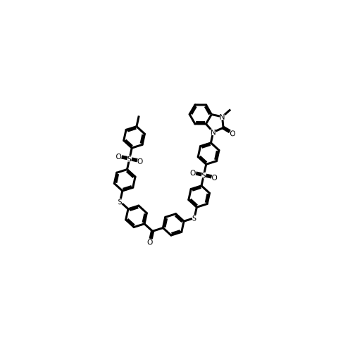 Cc1ccc(S(=O)(=O)c2ccc(Sc3ccc(C(=O)c4ccc(Sc5ccc(S(=O)(=O)c6ccc(-n7c(=O)n(C)c8ccccc87)cc6)cc5)cc4)cc3)cc2)cc1